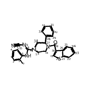 Cc1ccccc1N/C(=N\C#N)N1CCN(C(=O)c2csc3ccccc23)C(c2ccccc2)C1